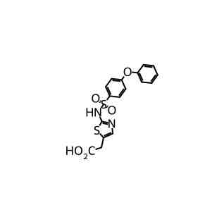 O=C(O)Cc1cnc(NS(=O)(=O)c2ccc(Oc3ccccc3)cc2)s1